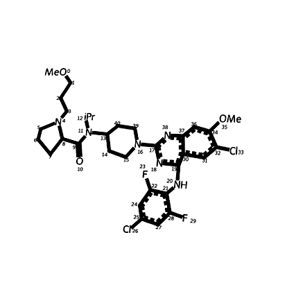 COCCCN1CCCC1C(=O)N(C(C)C)C1CCN(c2nc(Nc3c(F)cc(Cl)cc3F)c3cc(Cl)c(OC)cc3n2)CC1